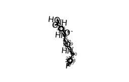 O=C(NO)c1ccc([S+]([O-])NCCN2CCC(CNC3CC3c3ccc(F)cc3)CC2)cc1